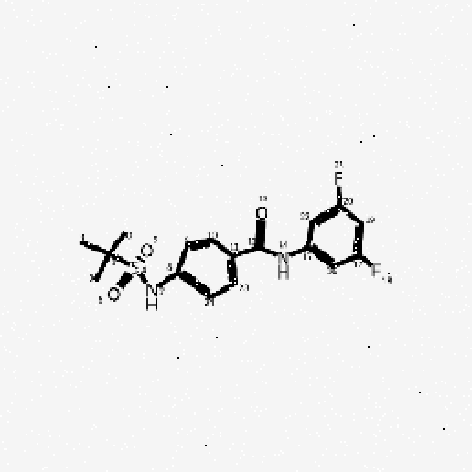 CC(C)(C)S(=O)(=O)Nc1ccc(C(=O)Nc2cc(F)cc(F)c2)cc1